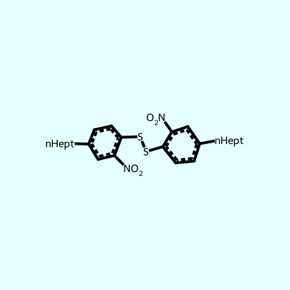 CCCCCCCc1ccc(SSc2ccc(CCCCCCC)cc2[N+](=O)[O-])c([N+](=O)[O-])c1